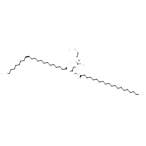 CCCCCCCC/C=C\CCCCCCCCCCCC(=O)O[C@H](COC(=O)CCCCCCCCCCCCCCCCCCC)COP(=O)(O)OCCN